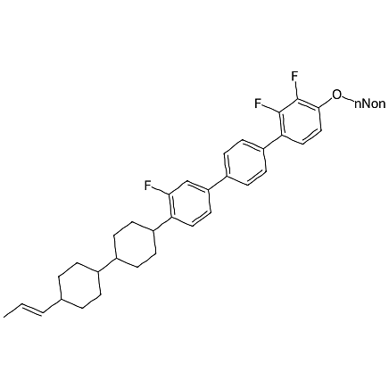 C/C=C/C1CCC(C2CCC(c3ccc(-c4ccc(-c5ccc(OCCCCCCCCC)c(F)c5F)cc4)cc3F)CC2)CC1